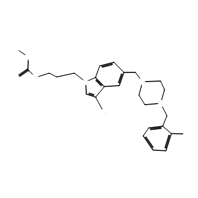 CC(C)(C)OC(=O)NCCCn1cc(Br)c2cc(CN3CCN(Cc4ccccc4Cl)CC3)ccc21